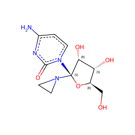 Nc1ccn([C@]2(N3CC3)O[C@H](CO)[C@@H](O)[C@H]2O)c(=O)n1